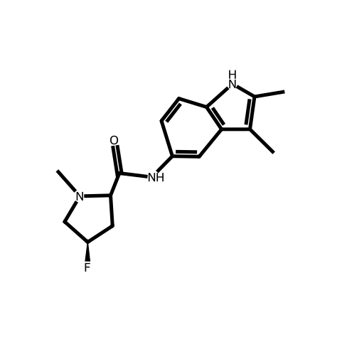 Cc1[nH]c2ccc(NC(=O)C3C[C@@H](F)CN3C)cc2c1C